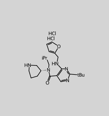 CC(C)CN(C(=O)c1cnc(C(C)(C)C)nc1NCc1ccco1)[C@@H]1CCCNC1.Cl.Cl